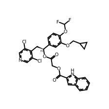 O=C(COC(=O)c1cc2ccccc2[nH]1)O[C@@H](Cc1c(Cl)cncc1Cl)c1ccc(OC(F)F)c(OCC2CC2)c1